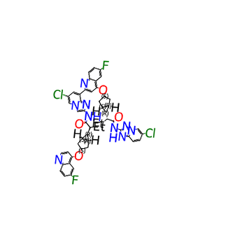 CCC(C(=O)Nc1cn2cc(Cl)cc(-c3cc(O[C@@H]4C[C@@H]5[C@H](C4)[C@H]5C(CC)C(=O)Nc4nc5ccc(Cl)cn5n4)c4cc(F)ccc4n3)c2n1)[C@H]1[C@@H]2C[C@@H](Oc3ccnc4ccc(F)cc34)C[C@@H]21